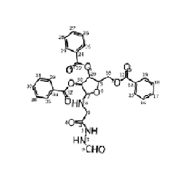 O=CNNC(=O)CNC1OC(COC(=O)c2ccccc2)C(OC(=O)c2ccccc2)C1OC(=O)c1ccccc1